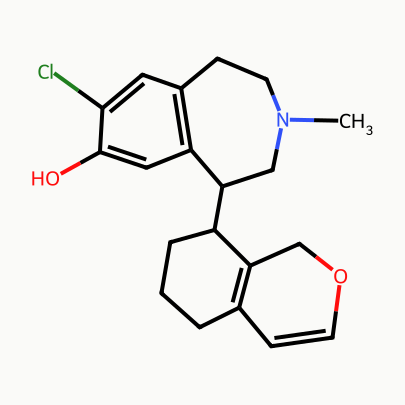 CN1CCc2cc(Cl)c(O)cc2C(C2CCCC3=C2COC=C3)C1